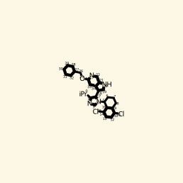 CC(C)c1ncn(C2CCCc3c(Cl)ccc(Cl)c32)c1-c1c[nH]c2cnc(OCc3ccccc3)cc12